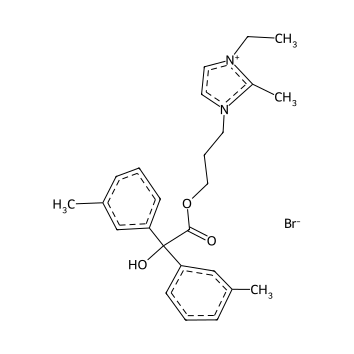 CC[n+]1ccn(CCCOC(=O)C(O)(c2cccc(C)c2)c2cccc(C)c2)c1C.[Br-]